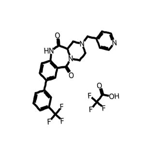 O=C(O)C(F)(F)F.O=C1Nc2ccc(-c3cccc(C(F)(F)F)c3)cc2C(=O)N2CCN(Cc3ccncc3)CC12